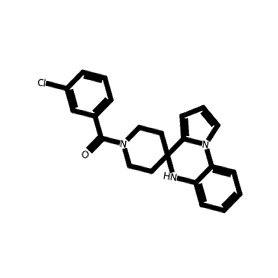 O=C(c1cccc(Cl)c1)N1CCC2(CC1)Nc1ccccc1-n1cccc12